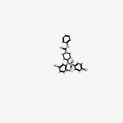 O=C(Oc1ccccc1)N1CCC(N(c2cc(F)ccc2F)S(=O)(=O)c2ccc(Cl)cc2)CC1